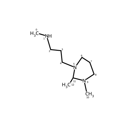 CNCCCN1CCCN(C)C1C